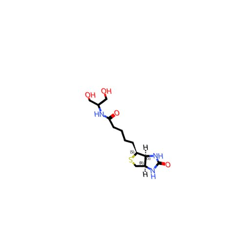 O=C(CCCC[C@@H]1SC[C@@H]2NC(=O)N[C@@H]21)NC(CO)CO